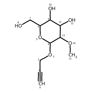 C#CCOC1OC(CO)C(O)C(O)C1OC